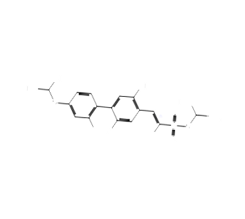 C/C(=C\c1cc(C)c(-c2ccc(NC(C)C)cc2F)cc1C)S(=O)(=O)NC(C)C